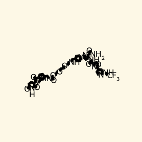 NC(=O)c1nn(-c2ccc(CNCCOCCOCCOC(=O)NCc3ccc4c(c3)CN(C3CCC(=O)NC3=O)C4=O)cc2)cc1NC(=O)c1coc(-c2ccnc(NCC(F)(F)F)c2)n1